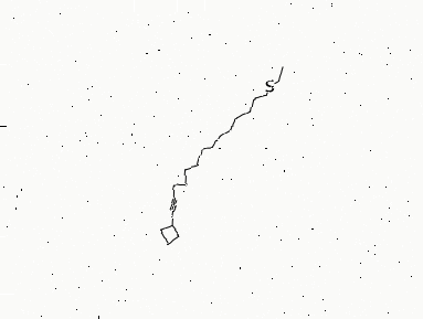 CCSCCCCCCCCCCCCC#CC1CCC1